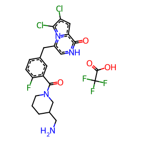 NCC1CCCN(C(=O)c2cc(Cc3c[nH]c(=O)c4cc(Cl)c(Cl)n34)ccc2F)C1.O=C(O)C(F)(F)F